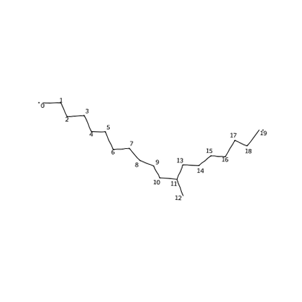 [CH2]CCCCCCCCCCC(C)CCCCCC[CH2]